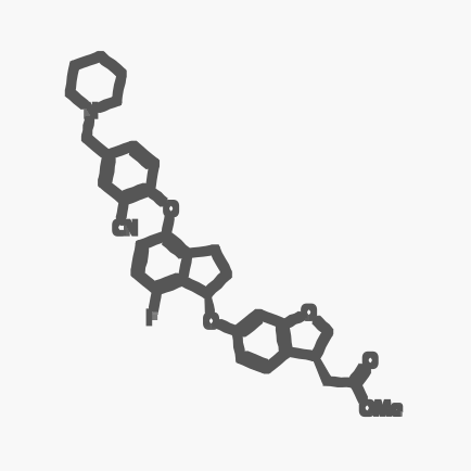 COC(=O)C[C@@H]1COc2cc(O[C@@H]3CCc4c(Oc5ccc(CN6CCCCC6)cc5C#N)ccc(F)c43)ccc21